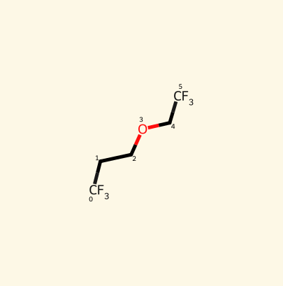 FC(F)(F)CCOCC(F)(F)F